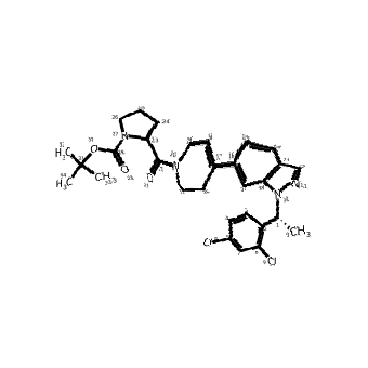 C[C@H](c1ccc(Cl)cc1Cl)n1ncc2ccc(C3=CCN(C(=O)C4CCCN4C(=O)OC(C)(C)C)CC3)cc21